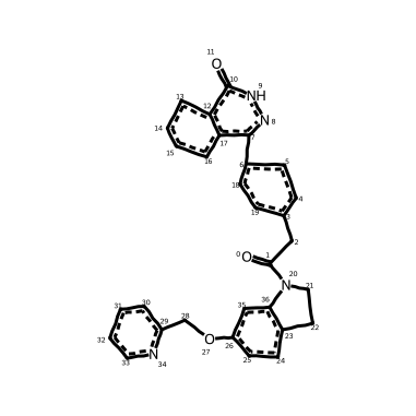 O=C(Cc1ccc(-c2n[nH]c(=O)c3ccccc23)cc1)N1CCc2ccc(OCc3ccccn3)cc21